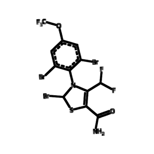 NC(=O)C1=C(C(F)F)N(c2c(Br)cc(OC(F)(F)F)cc2Br)C(Br)S1